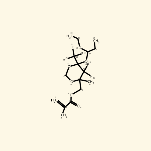 C=C(C)C(=O)OCC1(C)OCOC(OC(CC)OCC)(C(F)(F)F)C1(F)F